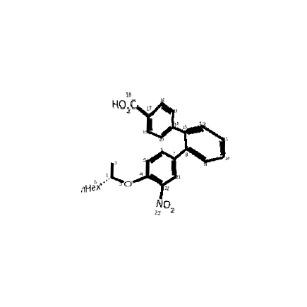 CCCCCC[C@H](C)Oc1ccc(-c2ccccc2-c2ccc(C(=O)O)cc2)cc1[N+](=O)[O-]